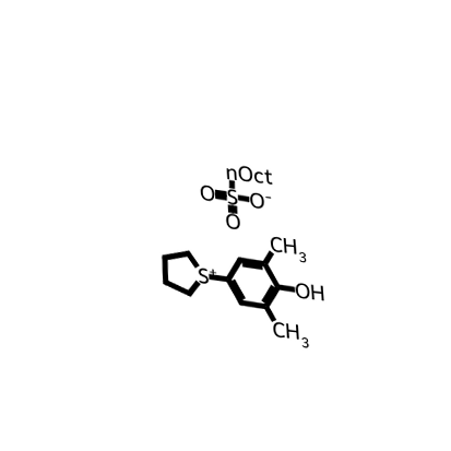 CCCCCCCCS(=O)(=O)[O-].Cc1cc([S+]2CCCC2)cc(C)c1O